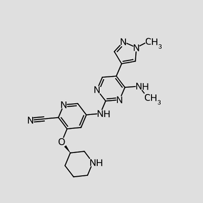 CNc1nc(Nc2cnc(C#N)c(O[C@@H]3CCCNC3)c2)ncc1-c1cnn(C)c1